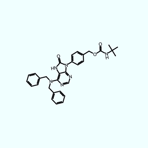 CC(C)(C)NC(=O)OCc1ccc(-n2c(=O)[nH]c3c(N(Cc4ccccc4)Cc4ccccc4)ncnc32)cc1